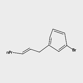 CCCC=CCc1cccc(Br)c1